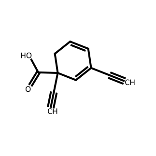 C#CC1=CC(C#C)(C(=O)O)CC=C1